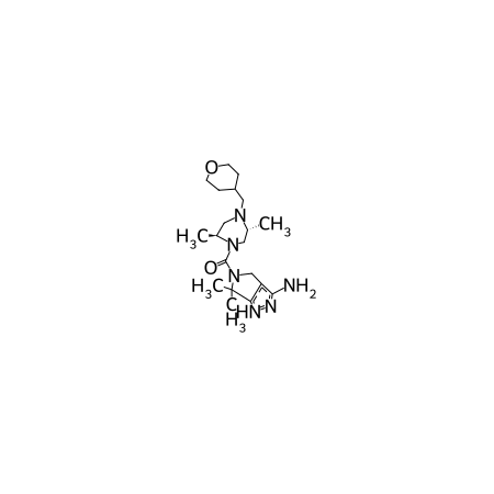 C[C@@H]1CN(C(=O)N2Cc3c(N)n[nH]c3C2(C)C)[C@@H](C)CN1CC1CCOCC1